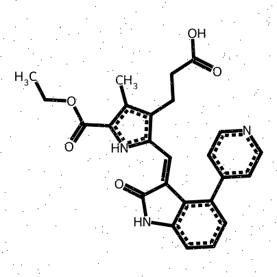 CCOC(=O)c1[nH]c(C=C2C(=O)Nc3cccc(-c4ccncc4)c32)c(CCC(=O)O)c1C